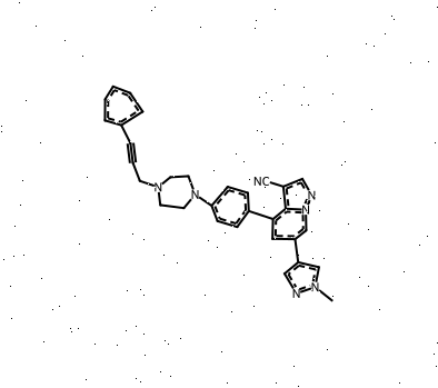 Cn1cc(-c2cc(-c3ccc(N4CCN(CC#Cc5ccccc5)CC4)cc3)c3c(C#N)cnn3c2)cn1